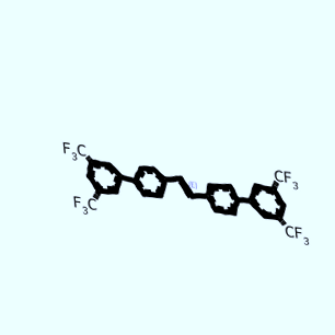 FC(F)(F)c1cc(-c2ccc(/C=C/c3ccc(-c4cc(C(F)(F)F)cc(C(F)(F)F)c4)cc3)cc2)cc(C(F)(F)F)c1